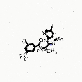 C[C@H](NC(=O)c1cc(Cl)cc(C(F)(F)F)c1)/C(=N/C=N)Nc1ccc(I)cn1